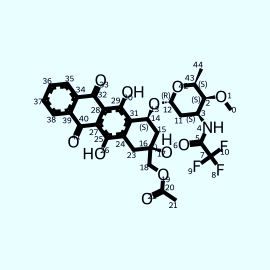 CO[C@H]1[C@@H](NC(=O)C(F)(F)F)C[C@H](O[C@H]2C[C@](O)(COC(C)=O)Cc3c(O)c4c(c(O)c32)C(=O)c2ccccc2C4=O)O[C@H]1C